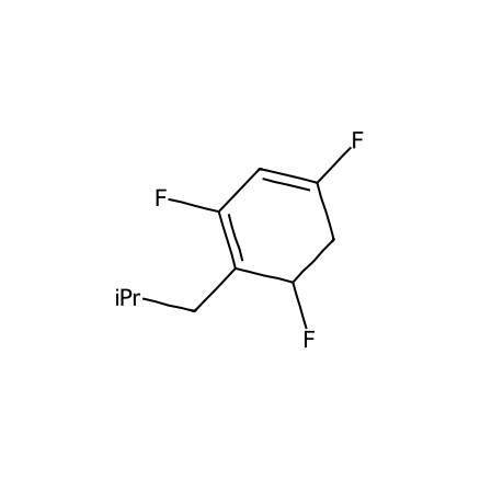 CC(C)CC1=C(F)C=C(F)CC1F